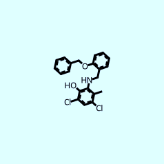 Cc1c(Cl)cc(Cl)c(O)c1NCc1ccccc1OCc1ccccc1